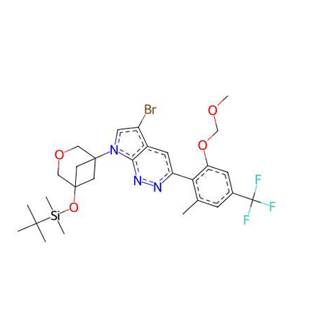 COCOc1cc(C(F)(F)F)cc(C)c1-c1cc2c(Br)cn(C34COCC(O[Si](C)(C)C(C)(C)C)(C3)C4)c2nn1